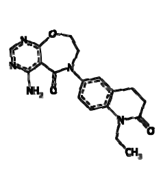 CCN1C(=O)CCc2cc(N3CCOc4ncnc(N)c4C3=O)ccc21